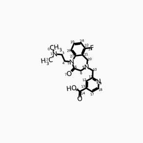 CN(C)CCN1C(=O)CN(Cc2cc(C(=O)O)ccn2)Cc2c(F)cccc21